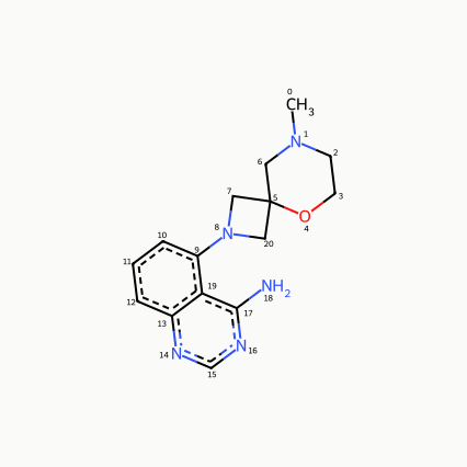 CN1CCOC2(C1)CN(c1cccc3ncnc(N)c13)C2